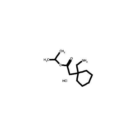 CC(C)OC(=O)CC1(CN)CCCCC1.Cl